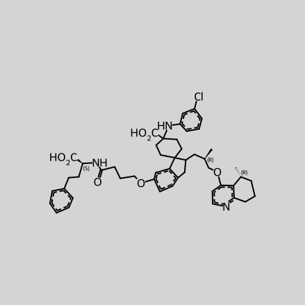 C[C@@H](COc1ccnc2c1[C@H](C)CCC2)CC1Cc2ccc(OCCCC(=O)N[C@@H](CCc3ccccc3)C(=O)O)cc2C12CCC(Nc1cccc(Cl)c1)(C(=O)O)CC2